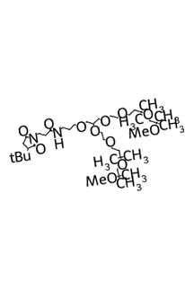 COC(C)(C)COC(C)(C)CCOCCOCC(COCCCNC(=O)CCN1C(=O)CC(C(C)(C)C)C1=O)OCCOCCC(C)(C)OCC(C)(C)OC